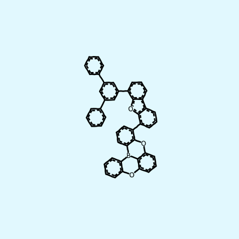 c1ccc(-c2cc(-c3ccccc3)cc(-c3cccc4c3oc3c(-c5cccc6c5Oc5cccc7c5B6c5ccccc5O7)cccc34)c2)cc1